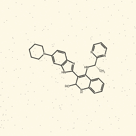 C[C@H](NC1=C(c2nc3ccc(N4CCCCC4)cc3[nH]2)C(O)Nc2ccccc21)c1ncccn1